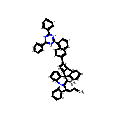 C=C/C=c1\c2n(c3ccccc13)-c1ccccc1C1(C=2C)c2ccccc2-c2cc(-c3ccc4c(-c5nc(-c6ccccc6)nc(-c6ccccc6)n5)cccc4c3)ccc21